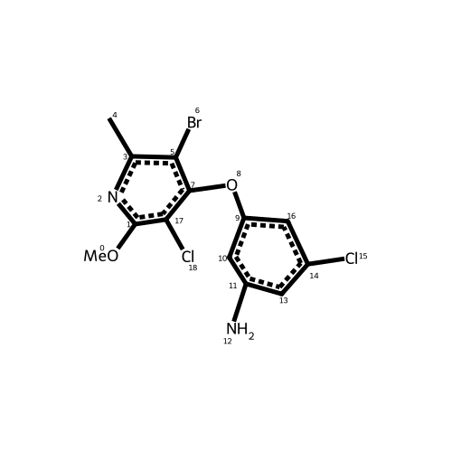 COc1nc(C)c(Br)c(Oc2cc(N)cc(Cl)c2)c1Cl